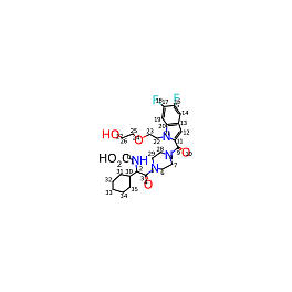 O=C(O)NC(C(=O)N1CCN(C(=O)c2cc3cc(F)c(F)cc3n2CCOCCO)CC1)C1CCCCC1